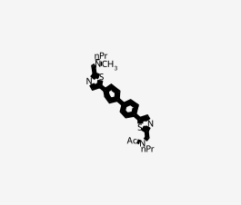 CCCN(C)Cc1ncc(-c2ccc(-c3ccc(-c4cnc(CN(CCC)C(C)=O)s4)cc3)cc2)s1